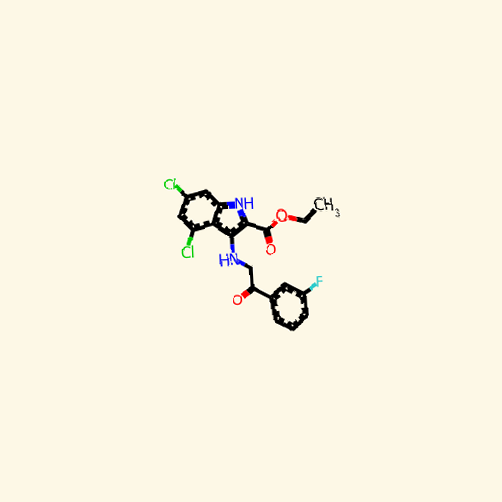 CCOC(=O)c1[nH]c2cc(Cl)cc(Cl)c2c1NCC(=O)c1cccc(F)c1